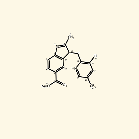 COC(=O)c1ccc2nc(C)n(Cc3ncc(C(F)(F)F)cc3Cl)c2n1